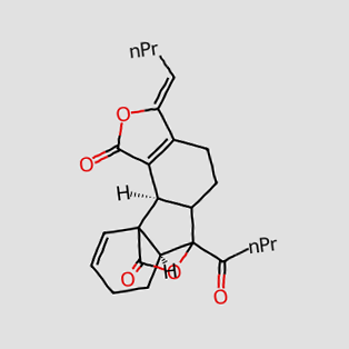 CCC/C=C1\OC(=O)C2=C1CCC1[C@H]2C23C=CCC[C@@H]2C1(C(=O)CCC)OC3=O